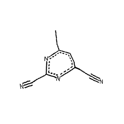 Cc1cc(C#N)nc(C#N)n1